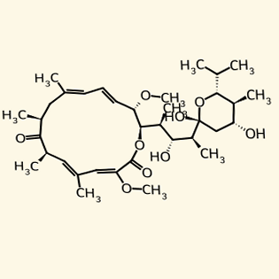 CO/C1=C\C(C)=C\[C@@H](C)C(=O)[C@@H](C)C/C(C)=C/C=C/[C@H](OC)[C@@H]([C@@H](C)[C@@H](O)[C@H](C)[C@@]2(O)C[C@@H](O)[C@H](C)[C@@H](C(C)C)O2)OC1=O